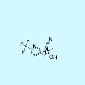 C[C@H](c1ccc(C(F)(F)F)nc1)[SH](C)(O)=NC#N